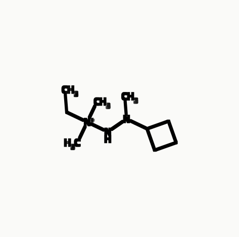 CC[N+](C)(C)NN(C)C1CCC1